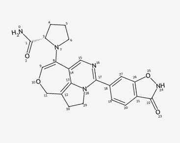 NC(=O)[C@@H]1CCCN1C1=COCC2=C3C1=CN=C(c1ccc4c(=O)[nH]oc4c1)N3CC2